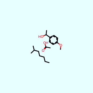 CC(=O)O.CCCCCC(C)C.COc1ccc(C(C)O)cc1